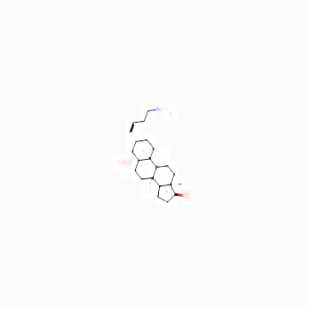 C[C@H]1C[C@H]2[C@@H]3CCC(=O)[C@@]3(C)CC[C@@H]2[C@@]2(C)CC[C@@H](/C=C\CCN)C[C@]12O